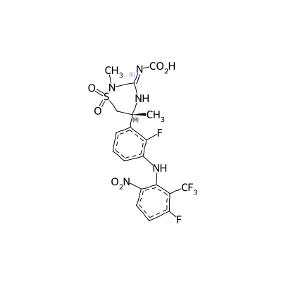 CN1/C(=N/C(=O)O)N[C@](C)(c2cccc(Nc3c([N+](=O)[O-])ccc(F)c3C(F)(F)F)c2F)CS1(=O)=O